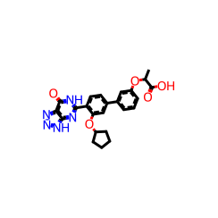 CC(Oc1cccc(-c2ccc(-c3nc4[nH]nnc4c(=O)[nH]3)c(OC3CCCC3)c2)c1)C(=O)O